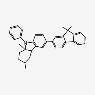 CC1CCC2(C)C(C1)c1cc(-c3ccc4c(c3)C(C)(C)c3ccccc3-4)ccc1N2c1ccccc1